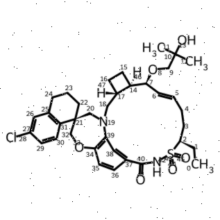 CC[C@@H]1CC/C=C/[C@H](OCC(C)(C)O)[C@@H]2CC[C@H]2CN2C[C@@]3(CCCc4cc(Cl)ccc43)COc3ccc(cc32)C(=O)NS1(=O)=O